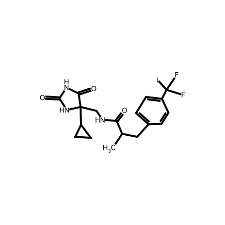 CC(Cc1ccc(C(F)(F)I)cc1)C(=O)NCC1(C2CC2)NC(=O)NC1=O